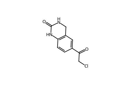 O=C1NCc2cc(C(=O)CCl)ccc2N1